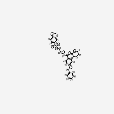 Cc1ccc(S(=O)(=O)OCCOCC(OC2CCCCO2)c2ccc(OCc3ccccc3)cc2)cc1